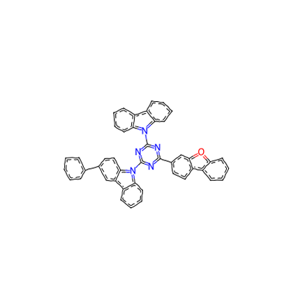 c1ccc(-c2ccc3c(c2)c2ccccc2n3-c2nc(-c3ccc4c(c3)oc3ccccc34)nc(-n3c4ccccc4c4ccccc43)n2)cc1